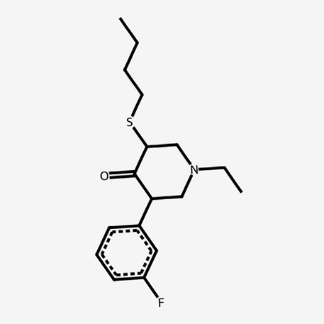 CCCCSC1CN(CC)CC(c2cccc(F)c2)C1=O